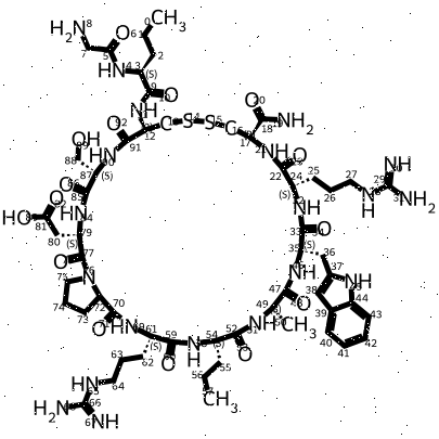 CCC[C@H](NC(=O)CN)C(=O)N[C@H]1CSSC[C@@H](C(N)=O)NC(=O)[C@H](CCCNC(=N)N)NC(=O)[C@H](Cc2cc3ccccc3[nH]2)NC(=O)[C@H](C)NC(=O)[C@H](CCC)NC(=O)[C@H](CCCNC(=N)N)NC(=O)C2CCCN2C(=O)[C@H](CC(=O)O)NC(=O)[C@H](CO)NC1=O